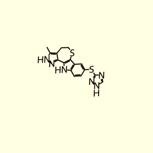 Cc1[nH]nc2c1CCSc1c-2[nH]c2ccc(Sc3nc[nH]n3)cc12